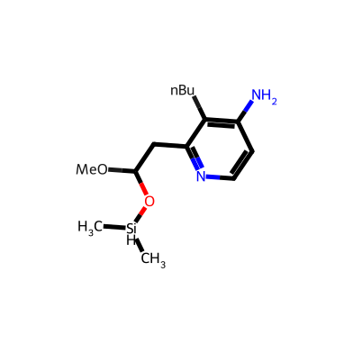 CCCCc1c(N)ccnc1CC(OC)O[SiH](C)C